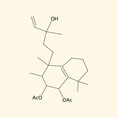 C=CC(C)(O)CCC1(C)C2=C(C(OC(C)=O)C(OC(C)=O)C1C)C(C)(C)CCC2